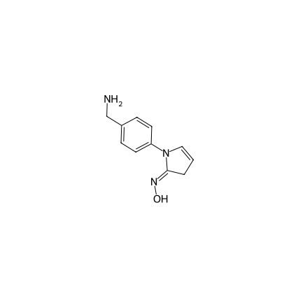 NCc1ccc(N2C=CCC2=NO)cc1